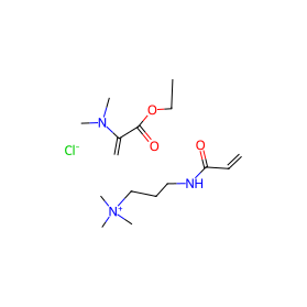 C=C(C(=O)OCC)N(C)C.C=CC(=O)NCCC[N+](C)(C)C.[Cl-]